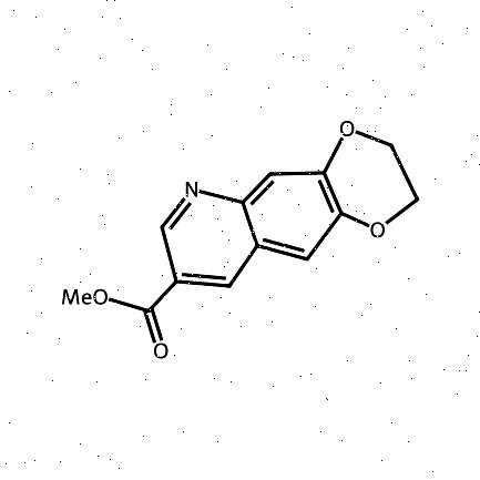 COC(=O)c1cnc2cc3c(cc2c1)OCCO3